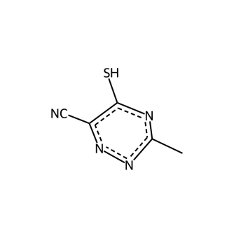 Cc1nnc(C#N)c(S)n1